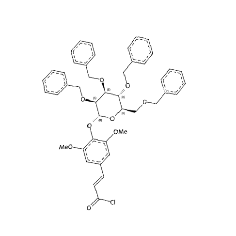 COc1cc(C=CC(=O)Cl)cc(OC)c1O[C@H]1O[C@H](COCc2ccccc2)[C@@H](OCc2ccccc2)[C@H](OCc2ccccc2)[C@@H]1OCc1ccccc1